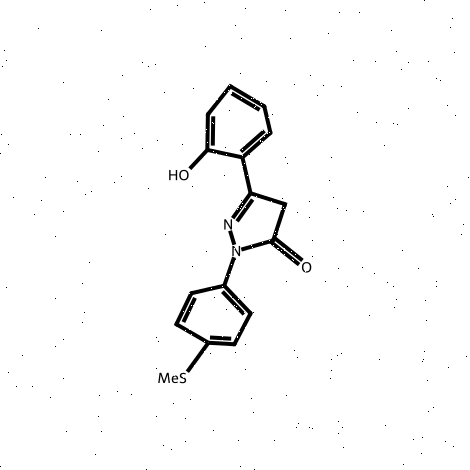 CSc1ccc(N2N=C(c3ccccc3O)CC2=O)cc1